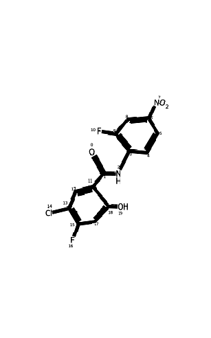 O=C(Nc1ccc([N+](=O)[O-])cc1F)c1cc(Cl)c(F)cc1O